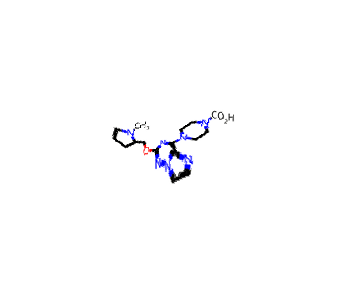 CN1CCCC1COc1nc(N2CCN(C(=O)O)CC2)c2nccn2n1